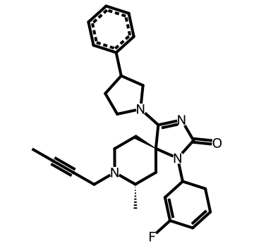 CC#CCN1CC[C@@]2(C[C@@H]1C)C(N1CCC(c3ccccc3)C1)=NC(=O)N2C1C=C(F)C=CC1